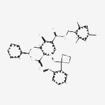 C=Cc1ccccc1C1(Nn2cc(C(=O)NCc3c(F)cc(F)cc3F)c(=O)c(OCc3ccccc3)c2C(=O)O)CCC1